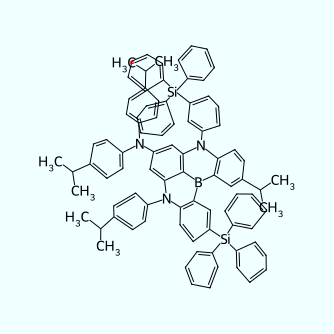 CC(C)c1ccc(N(c2ccc(C(C)C)cc2)c2cc3c4c(c2)N(c2ccc(C(C)C)cc2)c2ccc([Si](c5ccccc5)(c5ccccc5)c5ccccc5)cc2B4c2cc(C(C)C)ccc2N3c2cccc([Si](c3ccccc3)(c3ccccc3)c3ccccc3)c2)cc1